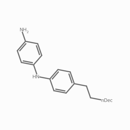 CCCCCCCCCCCCc1ccc(Nc2ccc(N)cc2)cc1